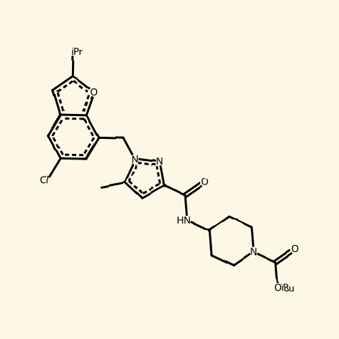 Cc1cc(C(=O)NC2CCN(C(=O)OCC(C)C)CC2)nn1Cc1cc(Cl)cc2cc(C(C)C)oc12